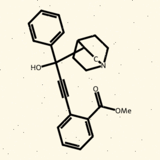 COC(=O)c1ccccc1C#CC(O)(c1ccccc1)C1CN2CCC1CC2